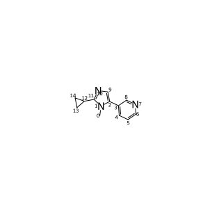 Cn1c(-c2cccnc2)cnc1C1CC1